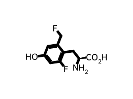 N[C@@H](Cc1c(F)cc(O)cc1CF)C(=O)O